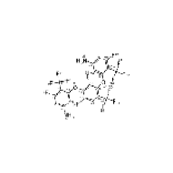 Nc1cc(F)c(C(F)(F)F)c(Oc2c(F)cc(C(F)(F)F)c(Oc3cc(N)cc(F)c3C(F)(F)F)c2F)c1